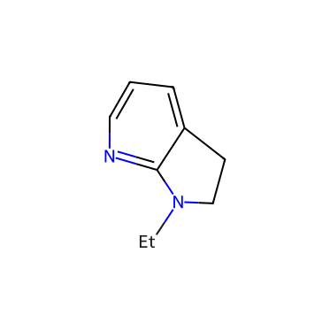 CCN1CCc2cccnc21